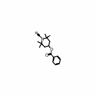 CC1(C)CC(OC(=O)c2ccccc2)CC(C)(C)N1C#N